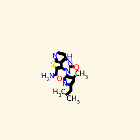 Cc1cc(CC(C)C)ncc1N1C(=O)Nc2ccnc3sc(C(N)=O)c1c23